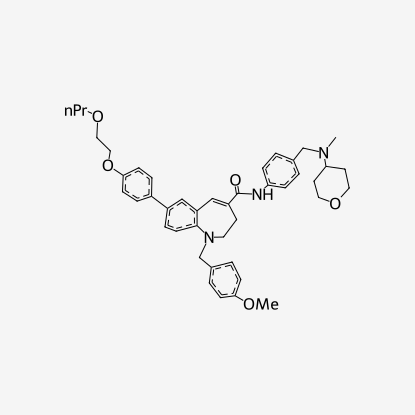 CCCOCCOc1ccc(-c2ccc3c(c2)C=C(C(=O)Nc2ccc(CN(C)C4CCOCC4)cc2)CCN3Cc2ccc(OC)cc2)cc1